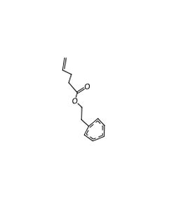 C=CCCC(=O)OCCc1ccccc1